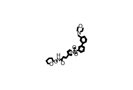 O=C(C=Cc1ccn(S(=O)(=O)c2cccc(-c3cccc(CN4CCOCC4)c3)c2)c1)NOC1CCCCO1